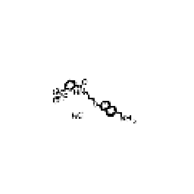 Cl.NCc1ccc2cc(OCCCNC(=O)c3cccc(S(=O)(=O)F)c3)ccc2c1